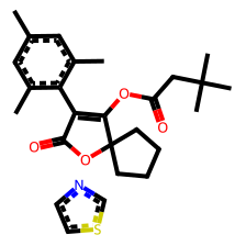 Cc1cc(C)c(C2=C(OC(=O)CC(C)(C)C)C3(CCCC3)OC2=O)c(C)c1.c1cscn1